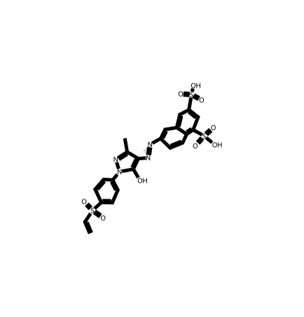 C=CS(=O)(=O)c1ccc(-n2nc(C)c(/N=N/c3ccc4c(S(=O)(=O)O)cc(S(=O)(=O)O)cc4c3)c2O)cc1